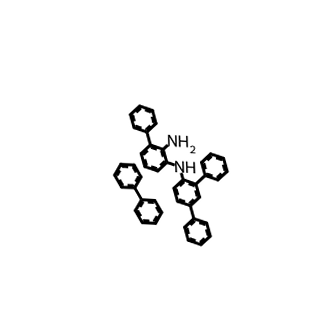 Nc1c(Nc2ccc(-c3ccccc3)cc2-c2ccccc2)cccc1-c1ccccc1.c1ccc(-c2ccccc2)cc1